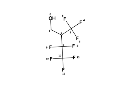 OCC(C(F)(F)F)C(F)(F)C(F)(F)F